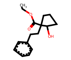 CCOC(=O)C1(CCc2ccccc2)CCCC1O